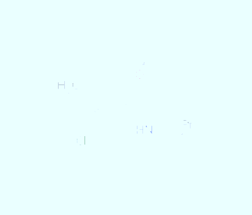 C=C(Cl)C(=O)NC(C)C